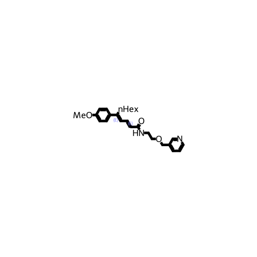 CCCCCC/C(=C\C=C\C(=O)NCCOCc1cccnc1)c1ccc(OC)cc1